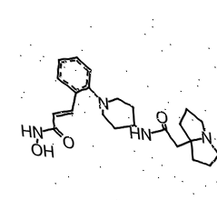 O=C(C=Cc1ccccc1N1CCC(NC(=O)CC23CCCN2CCC3)CC1)NO